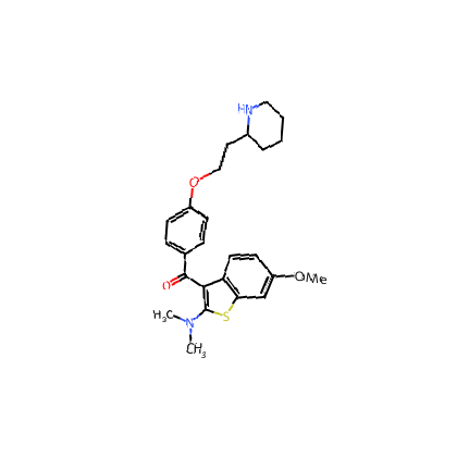 COc1ccc2c(C(=O)c3ccc(OCCC4CCCCN4)cc3)c(N(C)C)sc2c1